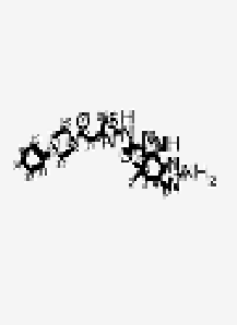 CC1(C)Cc2cnc(N)nc2-c2[nH]nc(C(=O)Nc3nc(CC(=O)N4CCN(c5ccccc5)CC4)cs3)c21